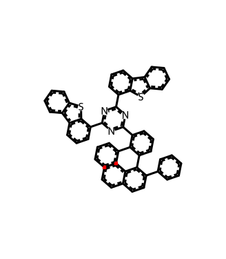 c1ccc(-c2ccc3ccccc3c2-c2cccc(-c3nc(-c4cccc5c4sc4ccccc45)nc(-c4cccc5c4sc4ccccc45)n3)c2-c2ccccc2)cc1